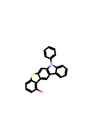 Brc1cccc2sc3cc4c(cc3c12)c1ccccc1n4-c1ccccc1